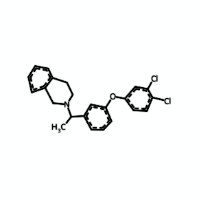 CC(c1cccc(Oc2ccc(Cl)c(Cl)c2)c1)N1CCc2ccccc2C1